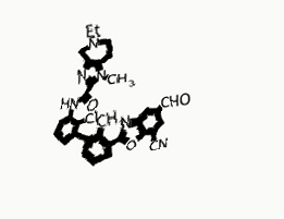 CCN1CCc2c(nc(C(=O)Nc3cccc(-c4cccc(-c5nc6cc(C=O)cc(C#N)c6o5)c4C)c3Cl)n2C)C1